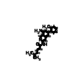 Cc1ccncc1-c1cc(N)c2cnc(NC(=O)/C=C/CN(C)C)cc2c1